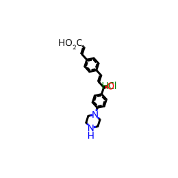 Cl.O=C(O)C=Cc1ccc(C=CC(=O)c2ccc(N3CCNCC3)cc2)cc1